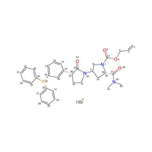 Br.C=CCOC(=O)N1CC(N2CC[C@H](c3cccc(P(c4ccccc4)c4ccccc4)c3)C2=O)C[C@H]1C(=O)N(C)C